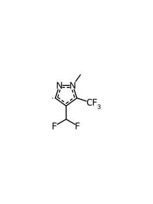 Cn1n[c]c(C(F)F)c1C(F)(F)F